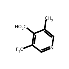 Cc1cncc(C(F)(F)F)c1C(=O)O